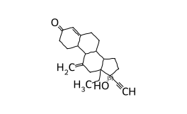 C#C[C@]1(O)CCC2C3CCC4=CC(=O)CCC4C3C(=C)CC21CC